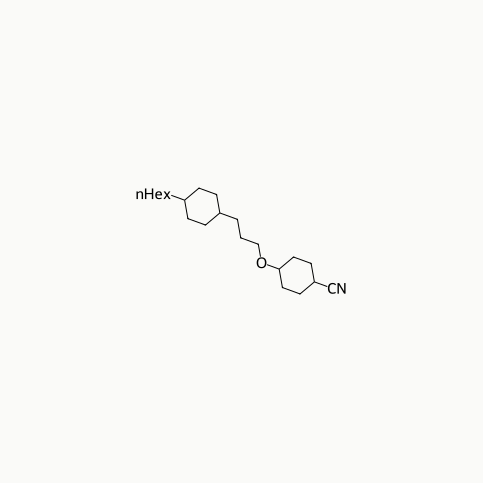 CCCCCCC1CCC(CCCOC2CCC(C#N)CC2)CC1